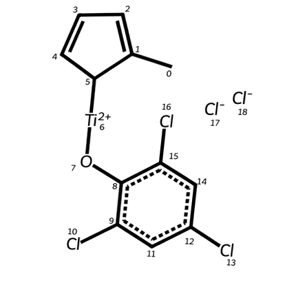 CC1=CC=C[CH]1[Ti+2][O]c1c(Cl)cc(Cl)cc1Cl.[Cl-].[Cl-]